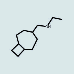 CCNCC1CCC2CCC2CC1